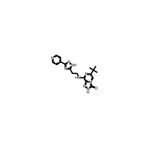 CC(C)(C)c1cn2c(=O)[nH]nc2c(NCCc2nc(-c3ccncc3)n[nH]2)n1